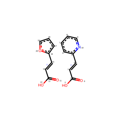 O=C(O)/C=C/c1ccccn1.O=C(O)/C=C/c1ccco1